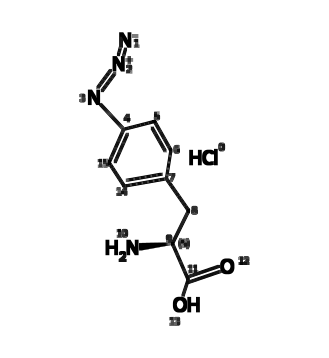 Cl.[N-]=[N+]=Nc1ccc(C[C@H](N)C(=O)O)cc1